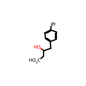 CC(C)c1ccc(CC(O)CC(=O)O)cc1